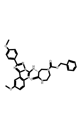 COc1ccc(-c2nc3c4cc(OC)ccc4nc(N[C@@H]4CN(C(=O)OCc5ccccc5)CCNC4=O)n3n2)cc1